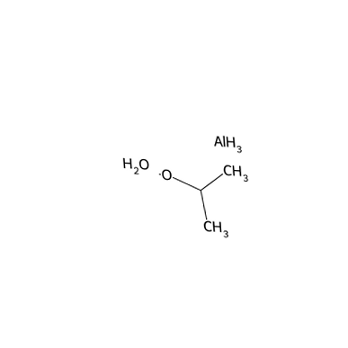 CC(C)[O].O.[AlH3]